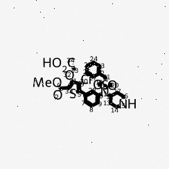 COC(=O)c1sc(-c2cccc(N(C3CCNCC3)S(=O)(=O)Cc3ccccc3)c2)c(Cl)c1OCC(=O)O